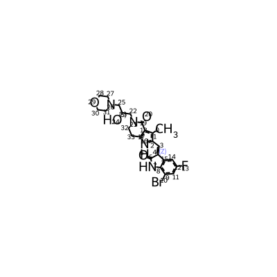 Cc1c(/C=C2\C(=O)Nc3c(Br)cc(F)cc32)[nH]c2c1C(=O)N(C[C@@H](O)CN1CCOCC1)CC2